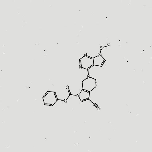 N#Cc1cn(C(=O)Oc2ccccc2)c2c1CCN(c1ncnc3c1ccn3SF)C2